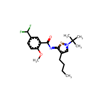 CCCCc1cn(C(C)(C)C)sc1=NC(=O)c1cc(C(F)F)ccc1OC